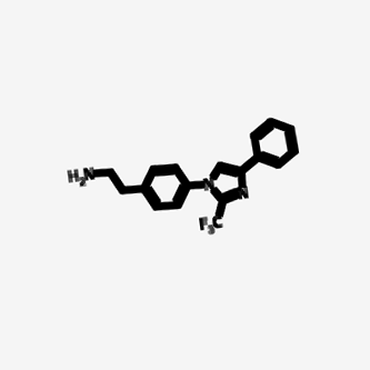 NCCc1ccc(-n2cc(-c3ccccc3)nc2C(F)(F)F)cc1